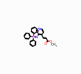 COC(=O)/C=C/c1ccncc1N=P(c1ccccc1)(c1ccccc1)c1ccccc1